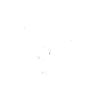 NC(=O)c1cccc(F)c1-c1cc(C(CN[C@H]2CCCNCC2)c2ccccc2)ccc1Cl